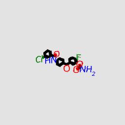 NC(=O)Oc1cc(C(=O)c2ccc(NC(=O)c3cccc(Cl)c3)cc2)ccc1F